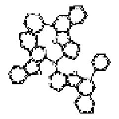 c1ccc(-c2cc3ccccc3c3c2oc2c(N(c4cccc5c4oc4c(-c6ccccc6)cc6ccccc6c45)c4cc5ccccc5c5c4oc4ccccc45)cccc23)cc1